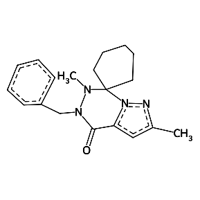 Cc1cc2n(n1)C1(CCCCC1)N(C)N(Cc1ccccc1)C2=O